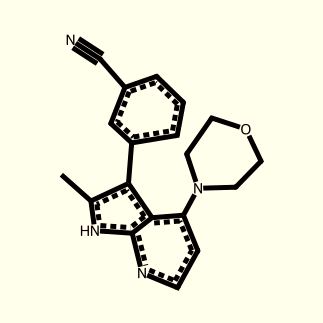 Cc1[nH]c2nccc(N3CCOCC3)c2c1-c1cccc(C#N)c1